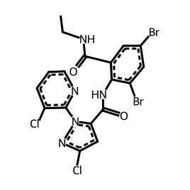 CCNC(=O)c1cc(Br)cc(Br)c1NC(=O)c1cc(Cl)nn1-c1ncccc1Cl